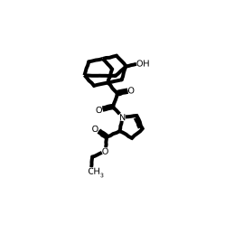 CCOC(=O)C1CC=CN1C(=O)C(=O)C12CC3CC(CC(O)(C3)C1)C2